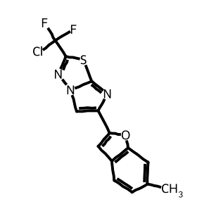 Cc1ccc2cc(-c3cn4nc(C(F)(F)Cl)sc4n3)oc2c1